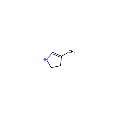 CC1=CNCC1